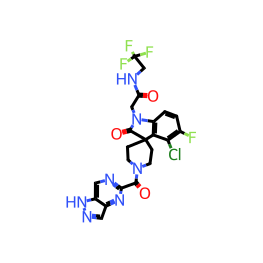 O=C(CN1C(=O)C2(CCN(C(=O)c3ncc4[nH]ncc4n3)CC2)c2c1ccc(F)c2Cl)NCC(F)(F)F